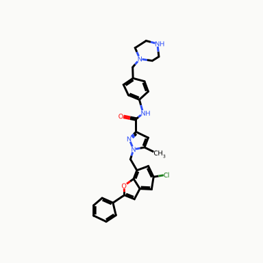 Cc1cc(C(=O)Nc2ccc(CN3CCNCC3)cc2)nn1Cc1cc(Cl)cc2cc(-c3ccccc3)oc12